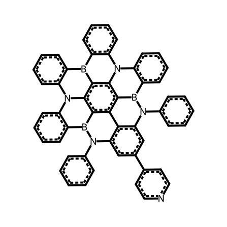 c1ccc(N2B3c4ccccc4N4c5ccccc5B5c6ccccc6N6c7ccccc7B7c8c(c3c4c5c86)-c3c2cc(-c2ccncc2)cc3N7c2ccccc2)cc1